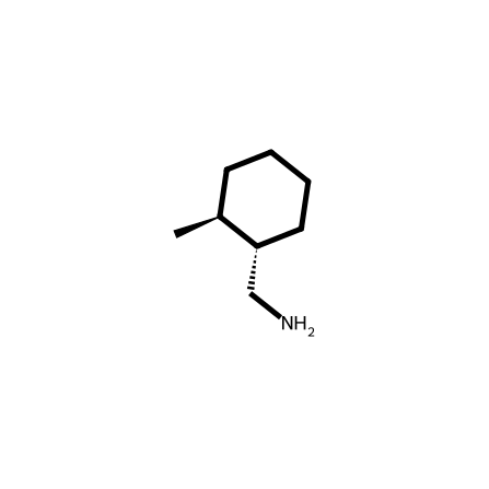 C[C@H]1CCCC[C@@H]1CN